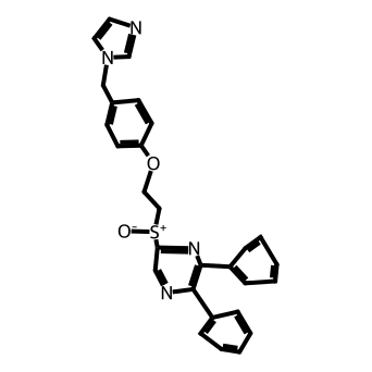 [O-][S+](CCOc1ccc(Cn2ccnc2)cc1)c1cnc(-c2ccccc2)c(-c2ccccc2)n1